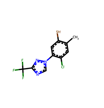 Cc1cc(Cl)c(-n2cnc(C(F)(F)F)n2)cc1S